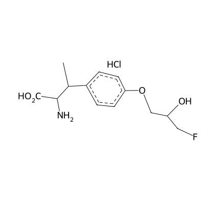 CC(c1ccc(OCC(O)CF)cc1)C(N)C(=O)O.Cl